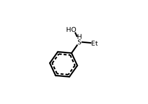 CC[SH](O)c1ccccc1